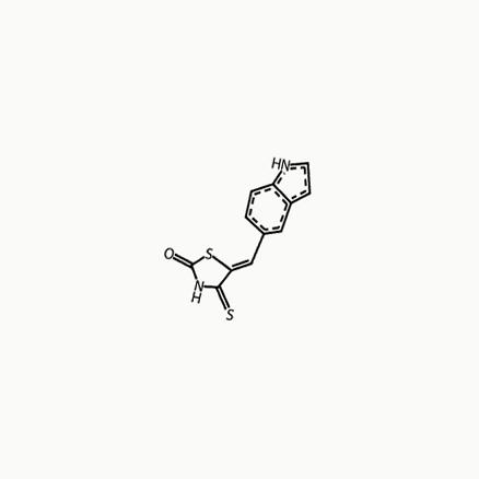 O=C1NC(=S)C(=Cc2ccc3[nH]ccc3c2)S1